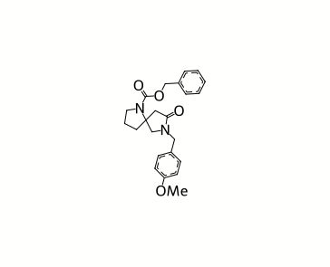 COc1ccc(CN2CC3(CCCN3C(=O)OCc3ccccc3)CC2=O)cc1